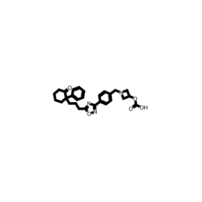 O=C(O)OC1CN(Cc2ccc(-c3noc(CCCC4(c5ccccc5)CCCCC4=O)n3)cc2)C1